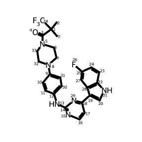 CC(C)(C(=O)N1CCN(c2ccc(Nc3nccc(-c4c[nH]c5ccc(F)cc45)n3)cc2)CC1)C(F)(F)F